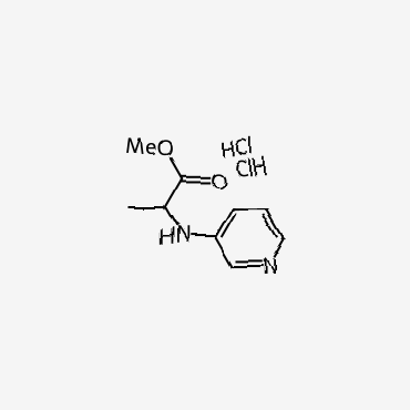 COC(=O)C(C)Nc1cccnc1.Cl.Cl